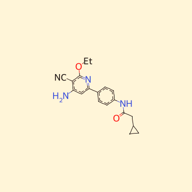 CCOc1nc(-c2ccc(NC(=O)CC3CC3)cc2)cc(N)c1C#N